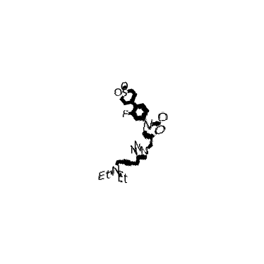 CCN(CC)CC#CCc1cn(C[C@H]2CN(c3ccc(C4=CCS(=O)(=O)CC4)c(F)c3)C(=O)O2)nn1